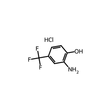 Cl.Nc1cc(C(F)(F)F)ccc1O